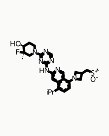 CC(C)c1ccc(N2CC(C[S+](C)[O-])C2)c2cnc(Nc3ncnc(N4CC[C@H](O)[C@](C)(F)C4)n3)cc12